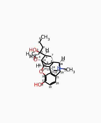 CCC[C@@](C)(O)[C@H]1C[C@@]23CC[C@@]1(OC)[C@@H]1Oc4c(O)ccc5c4[C@@]12CCN(C)[C@@H]3C5